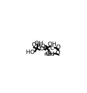 CC1CO1.CCCCC1CO1.OCC(CO)(CO)COCC(CO)(CO)CO